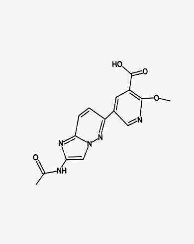 COc1ncc(-c2ccc3nc(NC(C)=O)cn3n2)cc1C(=O)O